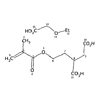 C=C(C)C(=O)OCCC(CC(=O)O)C(=O)O.CCOCC(=O)O